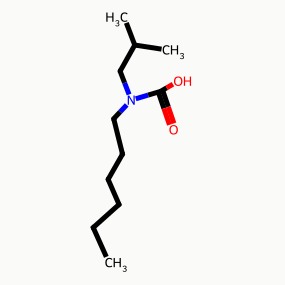 CCCCCCN(CC(C)C)C(=O)O